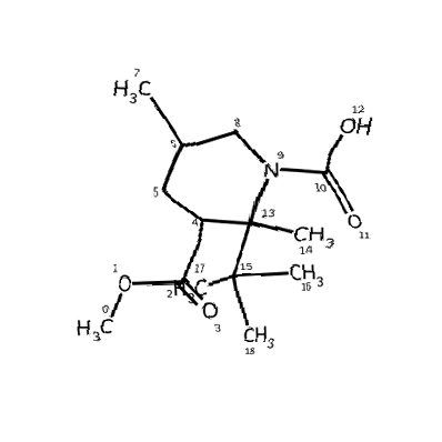 COC(=O)C1CC(C)CN(C(=O)O)C1(C)C(C)(C)C